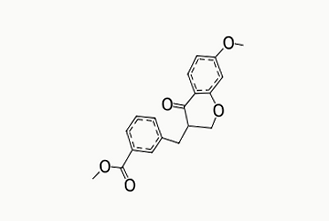 COC(=O)c1cccc(CC2COc3cc(OC)ccc3C2=O)c1